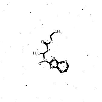 CCOC(=O)CC(C)[S+]([O-])c1nc2cccnc2s1